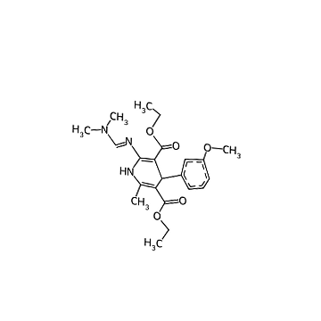 CCOC(=O)C1=C(C)NC(N=CN(C)C)=C(C(=O)OCC)C1c1cccc(OC)c1